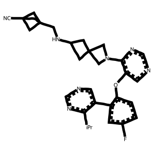 CC(C)c1ncncc1-c1cc(F)ccc1Oc1cncnc1N1CC2(CC(NCC34CC(C#N)(C3)C4)C2)C1